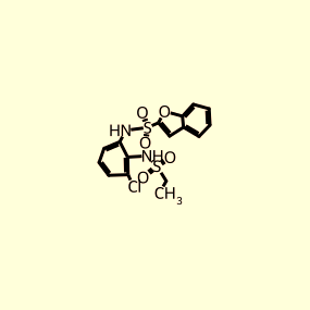 CCS(=O)(=O)Nc1c(Cl)cccc1NS(=O)(=O)c1cc2ccccc2o1